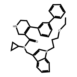 CCOCCCn1cc(CN(C(=O)C2=C(c3cccc(-c4ccccc4)c3)CCNC2)C2CC2)c2ccccc21